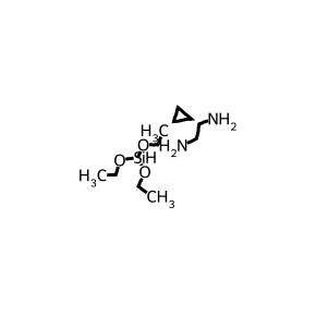 C1CC1.CCO[SiH](OCC)OCC.NCCN